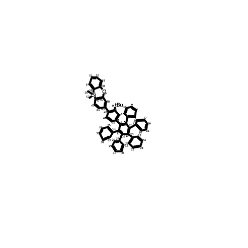 CC(C)(C)c1cc(-c2c(-c3ccccc3)c(-c3ccccc3)c(-c3ccccc3)c(-c3ccccc3)c2-c2ccccc2)ccc1-c1ccc2c(c1)Oc1ccccc1[Si]2(C)C